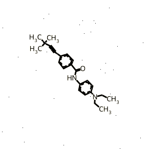 CCN(CC)c1ccc(NC(=O)c2ccc(C#CC(C)(C)C)cc2)cc1